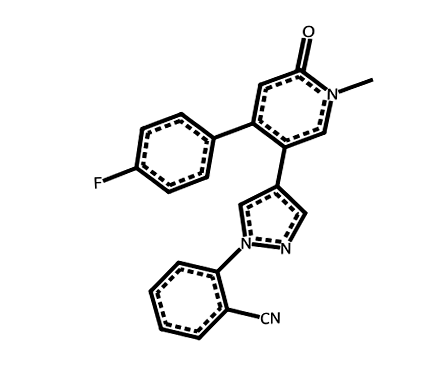 Cn1cc(-c2cnn(-c3ccccc3C#N)c2)c(-c2ccc(F)cc2)cc1=O